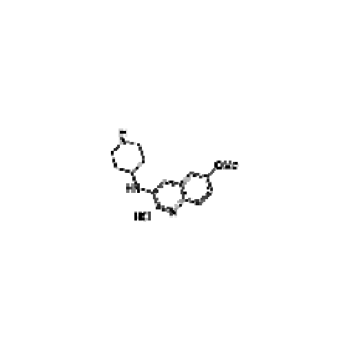 COc1ccc2ncc(NC3CCNCC3)cc2c1.Cl